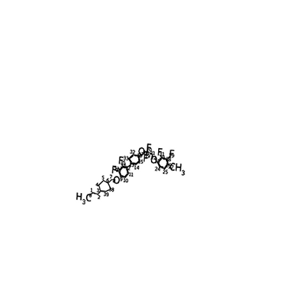 CCCC1CCC(COc2ccc(-c3ccc(OC(F)(F)COc4ccc(C)c(F)c4F)cc3)c(F)c2F)CC1